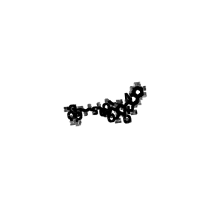 CC[C@@]1(OC(=O)CSCCC[Si](OC)(OC)OC)C(=O)OCc2c1cc1n(c2=O)Cc2cc3ccccc3nc2-1